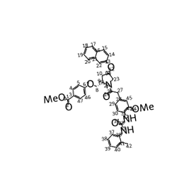 COC(=O)c1ccc(OC[C@@H]2C[C@H](Oc3ccc4ccccc4c3)CN2C(=O)Cc2ccc(NC(=O)Nc3ccccc3C)c(OC)c2)cc1